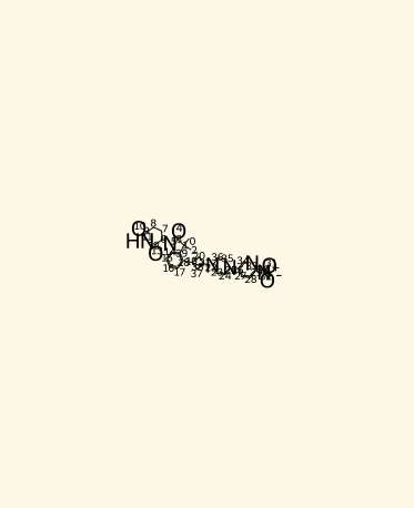 CC1(C)C(=O)N(C2CCC(=O)NC2=O)c2cccc(C34CC(N5CCN(c6ccc([N+](=O)[O-])nc6)CC5)(C3)C4)c21